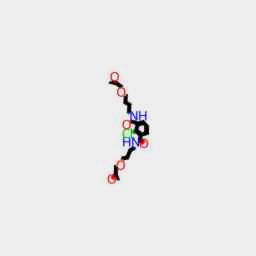 O=C(NCCCCOCC1CO1)c1cccc(C(=O)NCCCCOCC2CO2)c1Cl